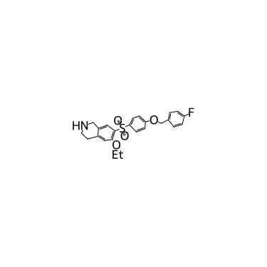 CCOc1cc2c(cc1S(=O)(=O)c1ccc(OCc3ccc(F)cc3)cc1)CNCC2